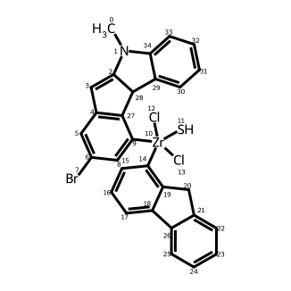 CN1C2=Cc3cc(Br)c[c]([Zr]([SH])([Cl])([Cl])[c]4cccc5c4Cc4ccccc4-5)c3C2c2ccccc21